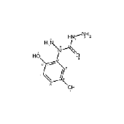 NNC(=O)N(N)c1cc(O)ccc1O